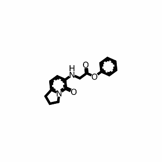 O=C(CNc1ccc2n(c1=O)CCC2)Oc1ccccc1